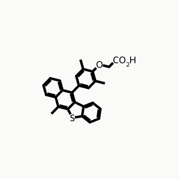 Cc1cc(-c2c3ccccc3c(C)c3sc4ccccc4c23)cc(C)c1OCC(=O)O